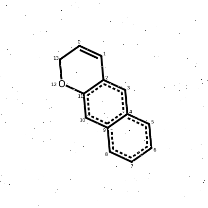 C1=Cc2cc3ccccc3cc2OC1